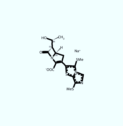 CSc1ncn2c(SC)c(C3=C(C(=O)[O-])N4C(=O)[C@H]([C@@H](C)O)[C@H]4C3)sc12.[Na+]